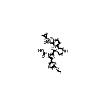 CCOc1cncc(-c2cnc(C(=O)N3CCNCC3c3ccnc(NS(=O)(=O)C4CC4)n3)s2)n1.O=CO